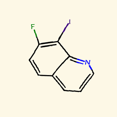 Fc1ccc2cccnc2c1I